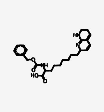 O=C(NC(CCCCCCCC1C=CC2=CCCNC2=N1)C(=O)O)OCc1ccccc1